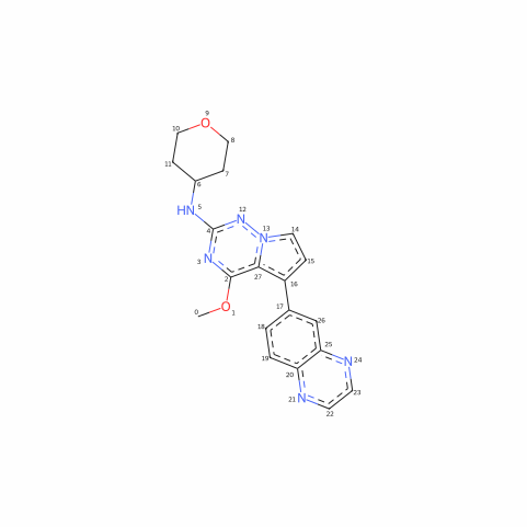 COc1nc(NC2CCOCC2)nn2ccc(-c3ccc4nccnc4c3)c12